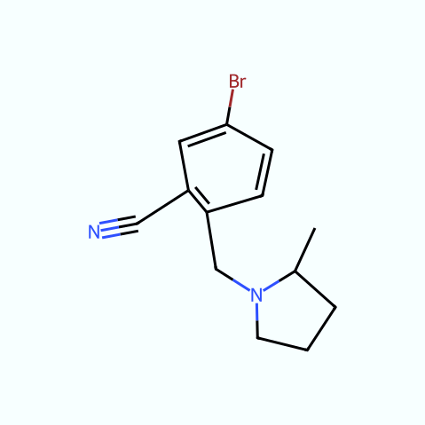 CC1CCCN1Cc1ccc(Br)cc1C#N